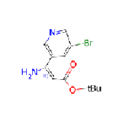 CC(C)(C)OC(=O)/C=C(/N)c1cncc(Br)c1